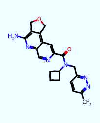 Nc1nc2cnc(C(=O)N(Cc3ccc(C(F)(F)F)nn3)C3CCC3)cc2c2c1COC2